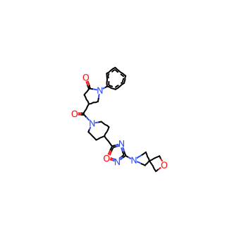 O=C(C1CC(=O)N(c2ccccc2)C1)N1CCC(c2nc(N3CC4(COC4)C3)no2)CC1